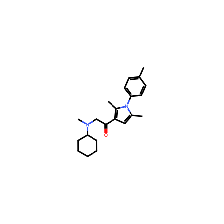 Cc1ccc(-n2c(C)cc(C(=O)CN(C)C3CCCCC3)c2C)cc1